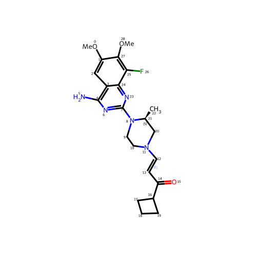 COc1cc2c(N)nc(N3CCN(/C=C/C(=O)C4CCC4)C[C@@H]3C)nc2c(F)c1OC